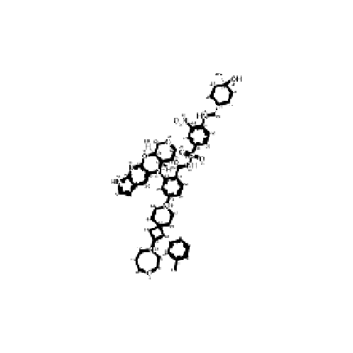 Cc1ccccc1[C@@H]1COCCCN1C1CC2(CCN(c3ccc(C(=O)NS(=O)(=O)c4ccc(NC[C@H]5CC[C@](C)(O)CC5)c([N+](=O)[O-])c4)c(N4c5cc6cc[nH]c6nc5O[C@H]5COCC[C@@H]54)c3)CC2)C1